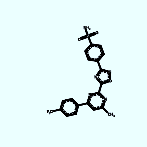 Cc1cc(-c2ccc(C(F)(F)F)cc2)nc(-c2nc(-c3ccc(S(N)(=O)=O)cc3)no2)n1